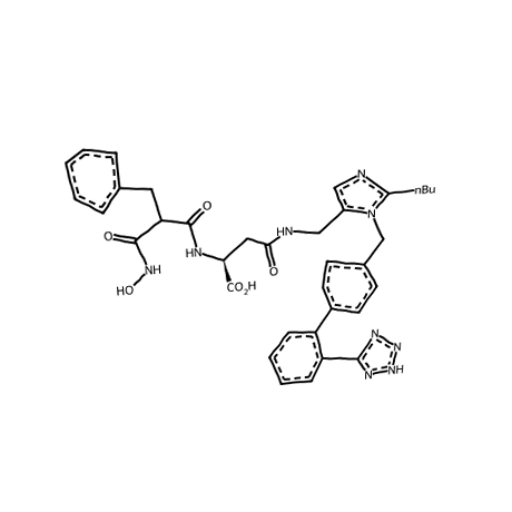 CCCCc1ncc(CNC(=O)C[C@H](NC(=O)C(Cc2ccccc2)C(=O)NO)C(=O)O)n1Cc1ccc(-c2ccccc2-c2nn[nH]n2)cc1